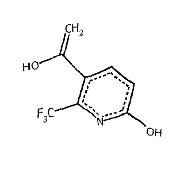 C=C(O)c1ccc(O)nc1C(F)(F)F